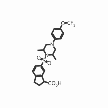 CC1CN(c2ccc(OC(F)(F)F)cc2)CC(C)N1S(=O)(=O)c1ccc2c(c1)C(C(=O)O)CC2